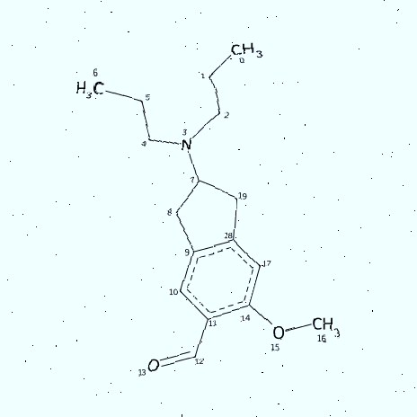 CCCN(CCC)C1Cc2cc(C=O)c(OC)cc2C1